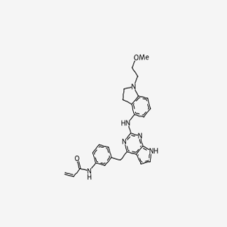 C=CC(=O)Nc1cccc(Cc2nc(Nc3cccc4c3CCN4CCOC)nc3[nH]ccc23)c1